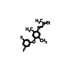 CCN(C)C=Nc1cc(C)c(Oc2cc(F)cc(F)c2)cc1C